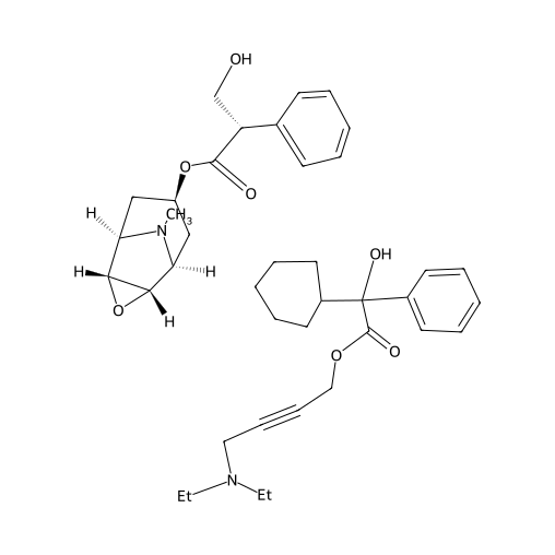 CCN(CC)CC#CCOC(=O)C(O)(c1ccccc1)C1CCCCC1.CN1[C@@H]2C[C@@H](OC(=O)[C@H](CO)c3ccccc3)C[C@H]1[C@@H]1O[C@@H]12